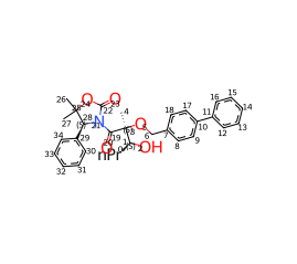 CCC[C@H](O)[C@](C)(OCc1ccc(-c2ccccc2)cc1)C(=O)N1C(=O)OC(C)(C)[C@@H]1c1ccccc1